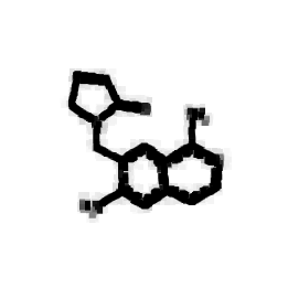 Nc1cc2ccnc(N)c2cc1CN1CC=CC1=O